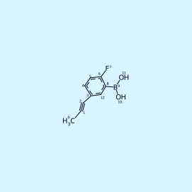 CC#Cc1ccc(F)c(B(O)O)c1